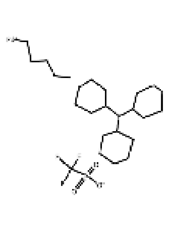 C1CCC(P(C2CCCCC2)C2CCCCC2)CC1.CCCC[CH2][Pd+].O=S(=O)([O-])C(F)(F)F